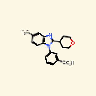 O=C(O)c1cccc(-n2c(C3CCOCC3)nc3cc(C(F)(F)F)ccc32)c1